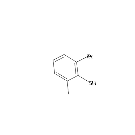 Cc1cccc(C(C)C)c1S